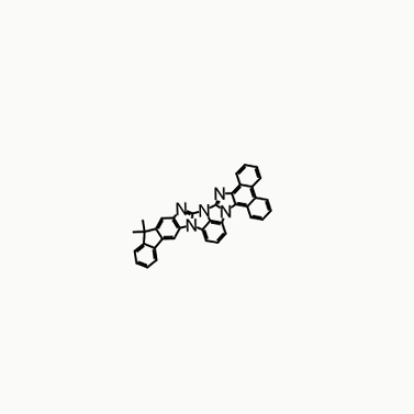 CC1(C)c2ccccc2-c2cc3c(cc21)nc1n3c2cccc3c2n1c1nc2c4ccccc4c4ccccc4c2n31